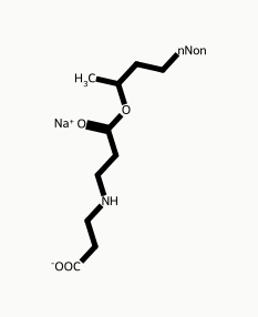 CCCCCCCCCCCC(C)OC(=O)CCNCCC(=O)[O-].[Na+]